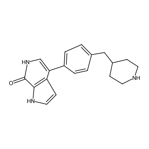 O=c1[nH]cc(-c2ccc(CC3CCNCC3)cc2)c2cc[nH]c12